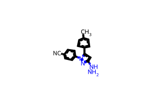 Cc1ccc(-c2cc(NN)nn2-c2ccc(C#N)cc2)cc1